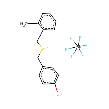 Cc1ccccc1C[SH+]Cc1ccc(O)cc1.[F][Sb-]([F])([F])([F])([F])[F]